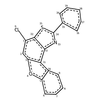 Clc1cc2oc3ccccc3c2c2nc(-c3ccccc3)sc12